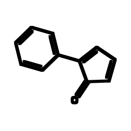 O=C1C=CC=C1c1ccccc1